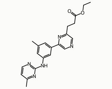 CCOC(=O)CCc1cncc(-c2cc(C)cc(Nc3nccc(C)n3)c2)n1